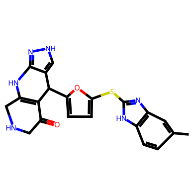 Cc1ccc2[nH]c(Sc3ccc(C4C5=C(CNCC5=O)Nc5n[nH]cc54)o3)nc2c1